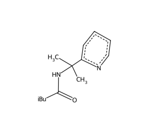 CCC(C)C(=O)NC(C)(C)c1ccccn1